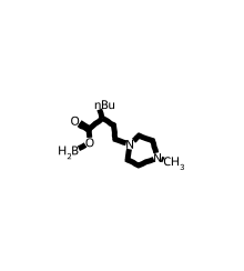 BOC(=O)C(CCCC)CCN1CCN(C)CC1